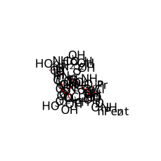 CCCCC[C@H](N)C(=O)OCOC(=O)N(C)[C@H](CC(C)C)C(=O)N[C@H]1C(=O)C[C@@H](CC(N)=O)C(=O)N[C@H]2C(=O)C[C@H]3C(=O)N[C@H](C(=O)N[C@H](C(=O)O)c4cc(O)cc5c4-c4cc3ccc4C5(O)O)[C@H](O[C@H]3C[C@](C)(N)[C@@H](O)[C@H](C)O3)c3ccc(c(Cl)c3)Oc3cc2cc(c3O[C@@H]2O[C@H](CO)[C@@H](O)[C@H](O)[C@H]2O[C@H]2C[C@](C)(NCc3ccc(-c4ccc(Cl)cc4)cc3)[C@@H](O)[C@H](C)O2)Oc2ccc(cc2Cl)[C@H]1O